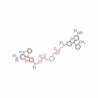 CCN(CCOC(=O)NCC1CCCC(CNC(=O)OCCN(CC)c2ccc3c(-c4ccccc4C)c4ccc(=[N+](CC)CC)cc-4oc3c2)C1)c1ccc2c(-c3ccccc3C)c3ccc(=[N+](CC)CC)cc-3oc2c1